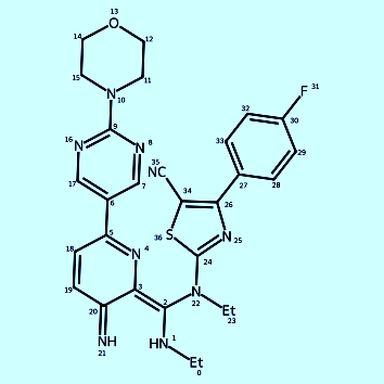 CCN/C(=C1/N=C(c2cnc(N3CCOCC3)nc2)C=CC1=N)N(CC)c1nc(-c2ccc(F)cc2)c(C#N)s1